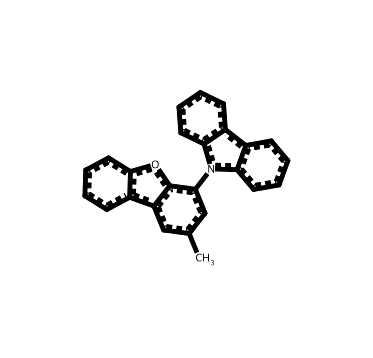 Cc1cc(-n2c3ccccc3c3ccccc32)c2oc3ccccc3c2c1